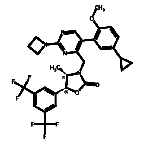 COc1ccc(C2CC2)cc1-c1cnc(N2CCC2)nc1CN1C(=O)O[C@H](c2cc(C(F)(F)F)cc(C(F)(F)F)c2)[C@@H]1C